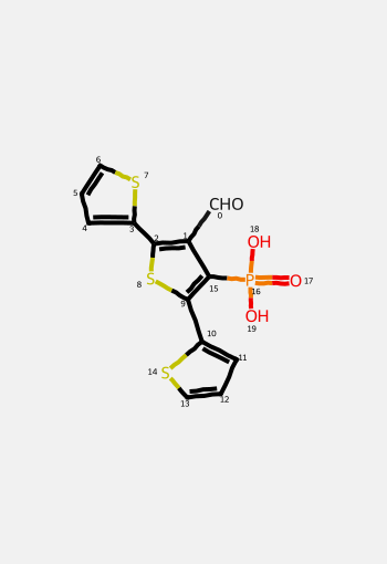 O=Cc1c(-c2cccs2)sc(-c2cccs2)c1P(=O)(O)O